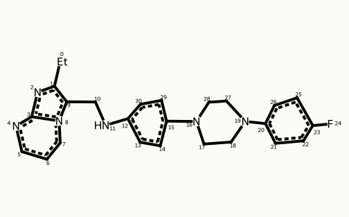 CCc1nc2ncccn2c1CNc1ccc(N2CCN(c3ccc(F)cc3)CC2)cc1